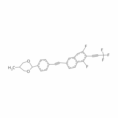 CC1COC(c2ccc(C#Cc3ccc4c(F)c(C#CC(F)(F)F)c(F)cc4c3)cc2)OC1